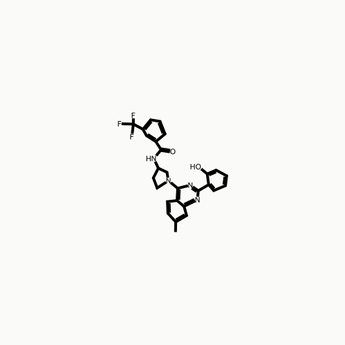 Cc1ccc2c(N3CCC(NC(=O)c4cccc(C(F)(F)F)c4)C3)nc(-c3ccccc3O)nc2c1